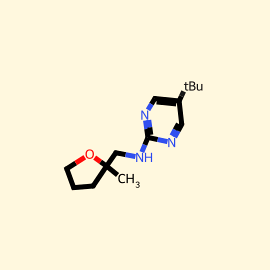 CC1(CNc2ncc(C(C)(C)C)cn2)CCCO1